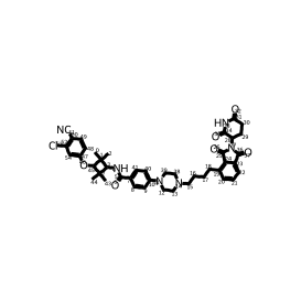 CC1(C)C(NC(=O)c2ccc(N3CCN(CCCCc4cccc5c4C(=O)N(C4CCC(=O)NC4=O)C5=O)CC3)cc2)C(C)(C)C1Oc1ccc(C#N)c(Cl)c1